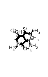 CC1=[N+](C)C=C(O)C(C(=S)N(C)C)C1=NN.[Cl-]